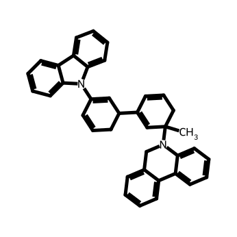 CC1(N2Cc3ccccc3-c3ccccc32)C=C(C2C=C(n3c4ccccc4c4ccccc43)C=CC2)C=CC1